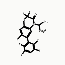 CC(C(=O)O)N1C(=O)C(F)(F)Oc2cc(F)c(-c3c(F)c(F)cc(F)c3F)cc21